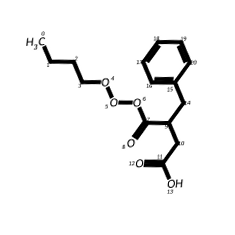 CCCCOOOC(=O)C(CC(=O)O)Cc1ccccc1